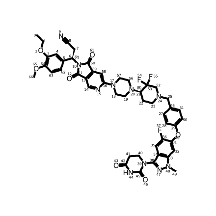 CCOc1cc([C@@H](CC#N)N2C(=O)c3cnc(N4CCN([C@@H]5CCN(Cc6ccc(Oc7cc8c(cc7F)c(N7CCC(=O)NC7=O)nn8C)cc6)CC5(F)F)CC4)cc3C2=O)ccc1OC